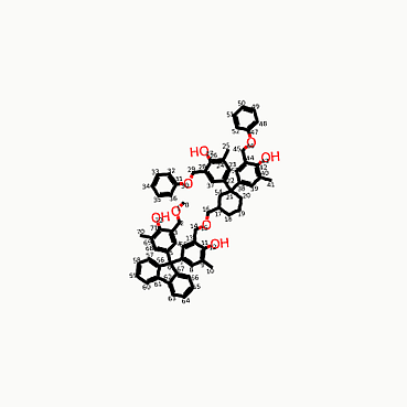 COCc1cc(C2(c3cc(C)c(O)c(COCC4CCCC(c5cc(C)c(O)c(COc6ccccc6)c5)(c5cc(C)c(O)c(COc6ccccc6)c5)C4)c3)c3ccccc3-c3ccccc32)cc(C)c1O